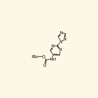 CC(C)(C)OC(=O)Nc1cnc(-n2cncn2)nc1